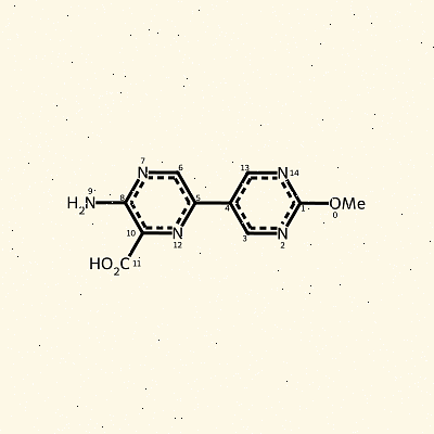 COc1ncc(-c2cnc(N)c(C(=O)O)n2)cn1